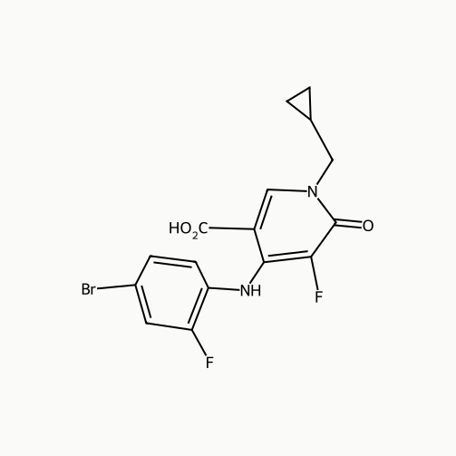 O=C(O)c1cn(CC2CC2)c(=O)c(F)c1Nc1ccc(Br)cc1F